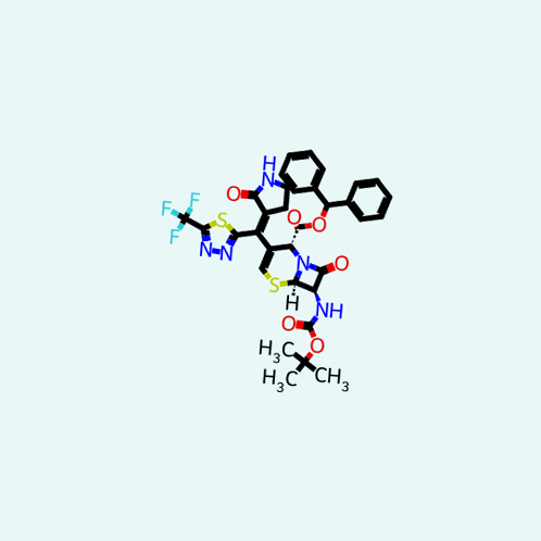 CC(C)(C)OC(=O)N[C@@H]1C(=O)N2[C@@H](C(=O)OC(c3ccccc3)c3ccccc3)C(C(=C3CCNC3=O)c3nnc(C(F)(F)F)s3)=CS[C@H]12